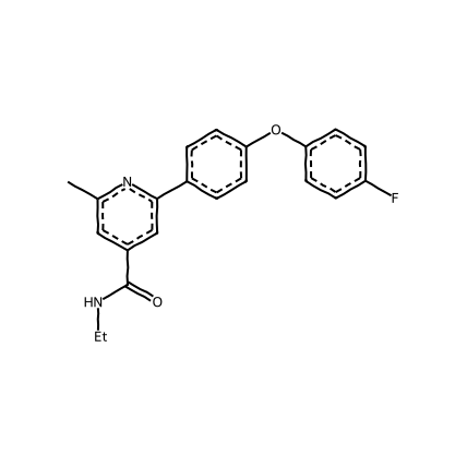 [CH2]CNC(=O)c1cc(C)nc(-c2ccc(Oc3ccc(F)cc3)cc2)c1